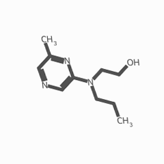 CCCN(CCO)c1cncc(C)n1